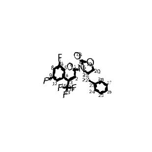 O=C(/C=C(\c1cc(F)cc(F)c1)C(F)(F)F)N1C(=O)OC[C@@H]1Cc1ccccc1